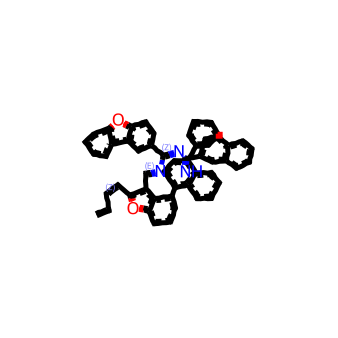 C=C/C=C\c1oc2cccc(-c3ccc(-c4ccccc4)c4ccccc34)c2c1/C=N/C(=N\C(=N)c1ccc2ccccc2c1)c1ccc2oc3ccccc3c2c1